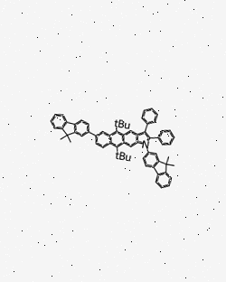 CC(C)(C)c1c2cc(-c3ccc4c(c3)C(C)(C)c3ccccc3-4)ccc2c(C(C)(C)C)c2cc3c(cc12)c(-c1ccccc1)c(-c1ccccc1)n3-c1ccc2c(c1)C(C)(C)c1ccccc1-2